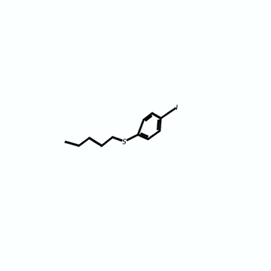 CCCCCSc1ccc(I)cc1